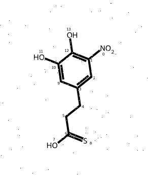 O=[N+]([O-])c1cc(CCC(O)=S)cc(O)c1O